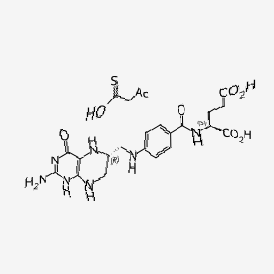 CC(=O)CC(O)=S.Nc1nc(=O)c2c([nH]1)NC[C@@H](CNc1ccc(C(=O)N[C@@H](CCC(=O)O)C(=O)O)cc1)N2